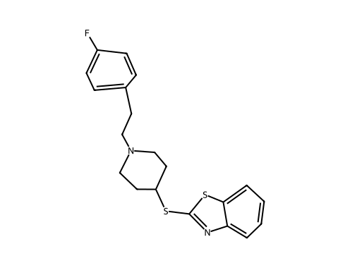 Fc1ccc(CCN2CCC(Sc3nc4ccccc4s3)CC2)cc1